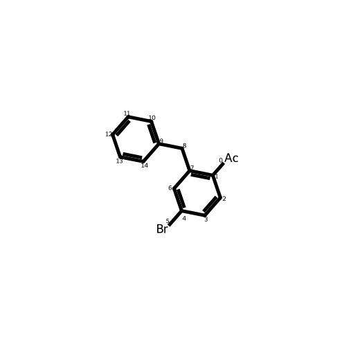 [CH2]C(=O)c1ccc(Br)cc1Cc1ccccc1